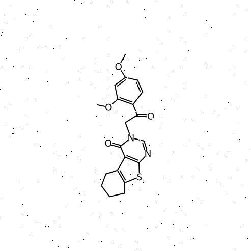 COc1ccc(C(=O)Cn2cnc3sc4c(c3c2=O)CCCC4)c(OC)c1